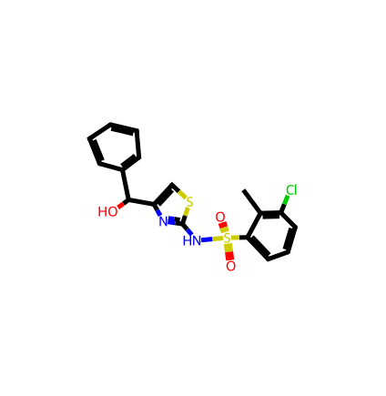 Cc1c(Cl)cccc1S(=O)(=O)Nc1nc(C(O)c2ccccc2)cs1